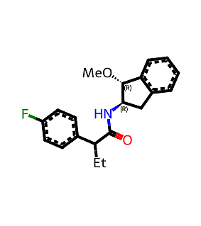 CCC(C(=O)N[C@@H]1Cc2ccccc2[C@H]1OC)c1ccc(F)cc1